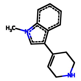 Cn1cc(C2=CCNCC2)c2ccccc21